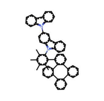 Cc1c(C)c(C)c(-n2c3ccccc3c3cc(-n4c5ccccc5c5ccccc54)ccc32)c(-c2cccc3c2-c2ccccc2-c2ccccc2-c2ccccc2-3)c1C